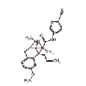 C=CC[C@@]12CCN(C)C(Cc3ccc(OC)cc31)[C@@H]2N(C)C(=O)Nc1ccc(C#N)cc1